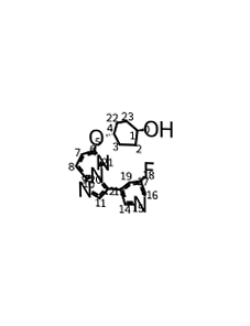 O[C@H]1CC[C@H](Oc2ccc3ncc(-c4cncc(F)c4)n3n2)CC1